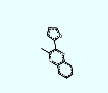 Cc1nc2ccccc2nc1-c1ccco1